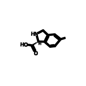 Cc1ccc2c(c1)CN[C@H]2C(=O)O